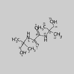 CC(C)(CO)NC(=O)C(=O)NC(C)(C)CO